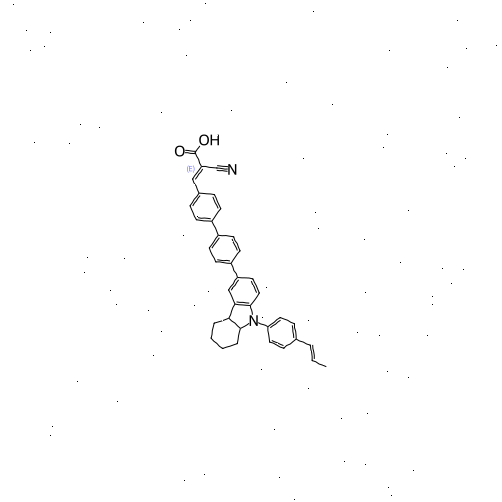 CC=Cc1ccc(N2c3ccc(-c4ccc(-c5ccc(/C=C(\C#N)C(=O)O)cc5)cc4)cc3C3CCCCC32)cc1